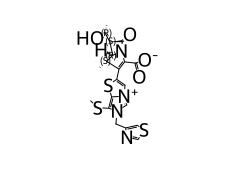 CSc1c2sc(C3=C(C(=O)[O-])N4C(=O)[C@H]([C@@H](C)O)[C@H]4[C@H]3C)c[n+]2cn1Cc1cscn1